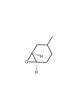 CC1CC[C@H]2O[C@H]2C1